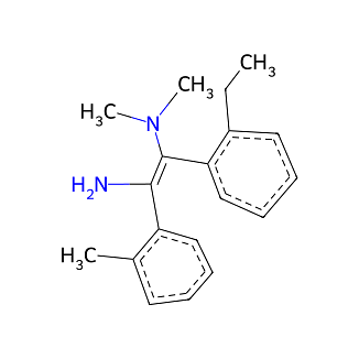 CCc1ccccc1/C(=C(/N)c1ccccc1C)N(C)C